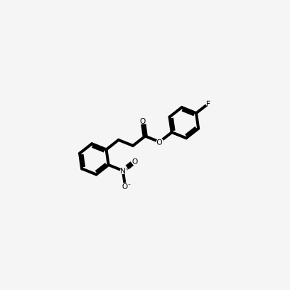 O=C(CCc1ccccc1[N+](=O)[O-])Oc1ccc(F)cc1